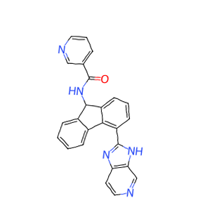 O=C(NC1c2ccccc2-c2c(-c3nc4ccncc4[nH]3)cccc21)c1cccnc1